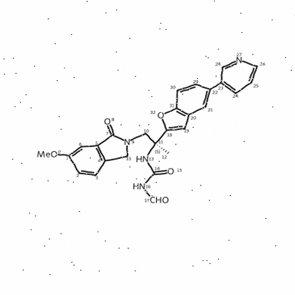 COc1ccc2c(c1)C(=O)N(C[C@](C)(NC(=O)NC=O)c1cc3cc(-c4cccnc4)ccc3o1)C2